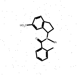 Cc1ccccc1C(=O)N(C(C)C)C1CCc2ccc(C(=O)O)cc21